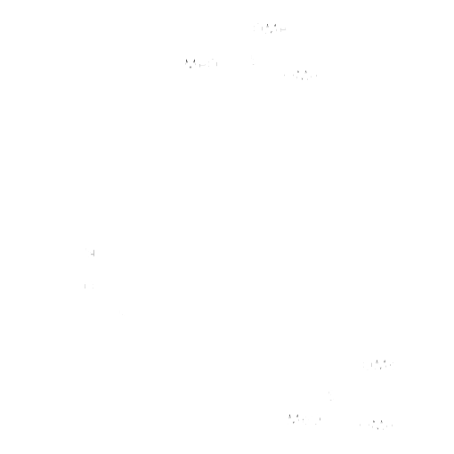 CO[Si](CCCCCC[Si](C)(C)O[Si](C)(C)CCCCCC[Si](OC)(OC)OC)(OC)OC